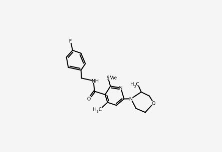 CSc1nc(N2CCOCC2C)cc(C)c1C(=O)NCc1ccc(F)cc1